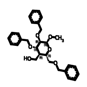 CO[C@H]1O[C@H](COCc2ccccc2)[C@@H](CO)[C@H](OCc2ccccc2)[C@H]1OCc1ccccc1